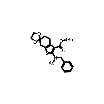 CC(=O)N(Cc1ccccc1)c1sc2c(c1C(=O)OC(C)(C)C)CCC1(C2)OCCO1